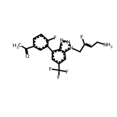 CC(=O)c1ccc(F)c(-c2cc(C(F)(F)F)cc3c2nnn3C/C(F)=C/CN)c1